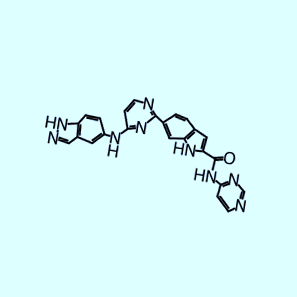 O=C(Nc1ccncn1)c1cc2ccc(-c3nccc(Nc4ccc5[nH]ncc5c4)n3)cc2[nH]1